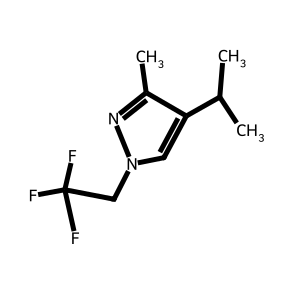 Cc1nn(CC(F)(F)F)cc1C(C)C